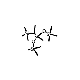 CC([Si](C)(C)C)[Si](C)(O[Si](C)(C)C)O[Si](C)(C)C